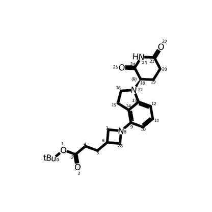 CC(C)(C)OC(=O)CCC1CN(c2cccc3c2CCN3[C@@H]2CCC(=O)NC2=O)C1